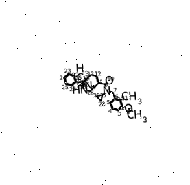 COc1cccc(CN(C(=O)C2=CCC3(C)NC2CNC3c2ccccc2)C2CC2)c1C